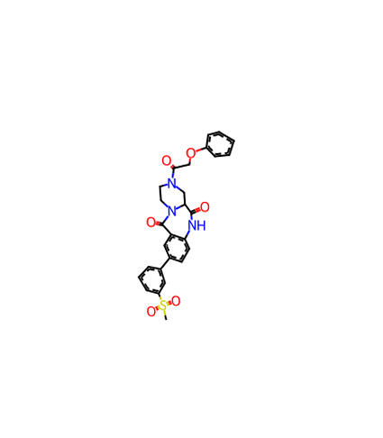 CS(=O)(=O)c1cccc(-c2ccc3c(c2)C(=O)N2CCN(C(=O)COc4ccccc4)CC2C(=O)N3)c1